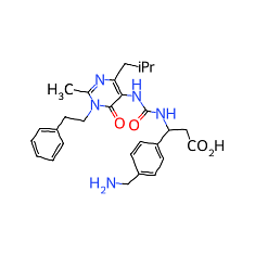 Cc1nc(CC(C)C)c(NC(=O)NC(CC(=O)O)c2ccc(CN)cc2)c(=O)n1CCc1ccccc1